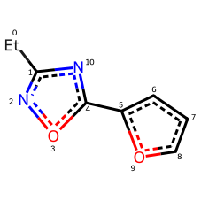 CCc1noc(-c2ccco2)n1